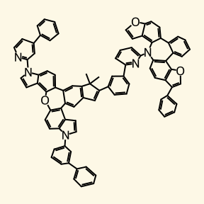 CC1(C)C(c2cccc(-c3cccc(N4c5ccc6c(-c7ccccc7)coc6c5-c5ccccc5-c5ccc6occc6c54)n3)c2)=Cc2cc3c(cc21)-c1ccc2c(ccn2-c2cc(-c4ccccc4)ccn2)c1Oc1ccc2c(ccn2-c2cccc(-c4ccccc4)c2)c1-3